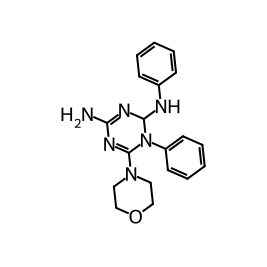 NC1=NC(Nc2ccccc2)N(c2ccccc2)C(N2CCOCC2)=N1